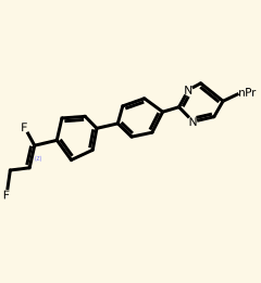 CCCc1cnc(-c2ccc(-c3ccc(/C(F)=C/CF)cc3)cc2)nc1